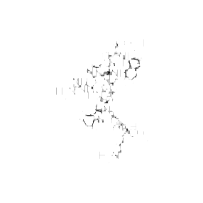 N=C(N)NCCC[C@H](NC(=O)[C@@H](Cc1ccc2ccccc2c1)NC(=O)[C@H](Cc1c[nH]cn1)NC(=O)[C@@H](N)CC(=O)O)C(=O)N[C@@H](Cc1c[nH]c2ccccc12)C(=O)NCCCC(=O)N[C@@H](CCCCN)C(=O)O